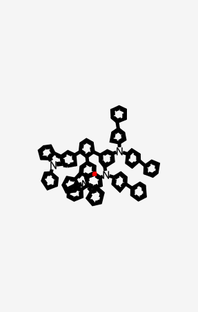 c1ccc(-c2ccc(N(c3ccc(-c4ccccc4)cc3)c3cc(-c4cccc(-c5ccc6c(c5)c5ccccc5n6-c5ccccc5)c4-c4ccc5c(c4)c4ccccc4n5-c4ccccc4)cc(N(c4ccc(-c5ccccc5)cc4)c4ccc(-c5ccccc5)cc4)c3)cc2)cc1